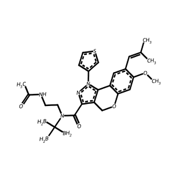 BC(B)(B)N(CCNC(C)=O)C(=O)c1nn(-c2ccsc2)c2c1COc1cc(OC)c(C=C(C)C)cc1-2